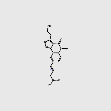 CCn1c(=O)c2c(CCO)[nH]nc2c2cc(/C=C/CN(C(C)C)C(C)C)ccc21